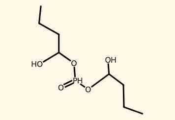 CCCC(O)O[PH](=O)OC(O)CCC